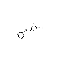 O=C(Nc1nnc(S)s1)c1ccccc1